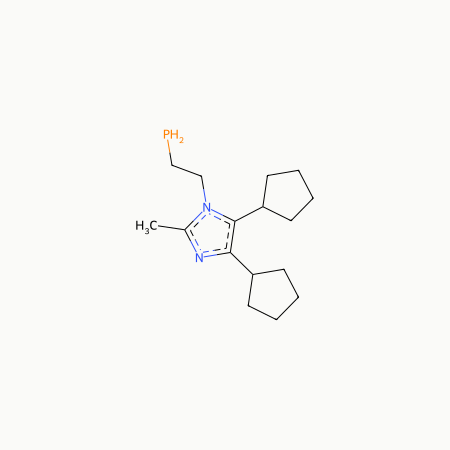 Cc1nc(C2CCCC2)c(C2CCCC2)n1CCP